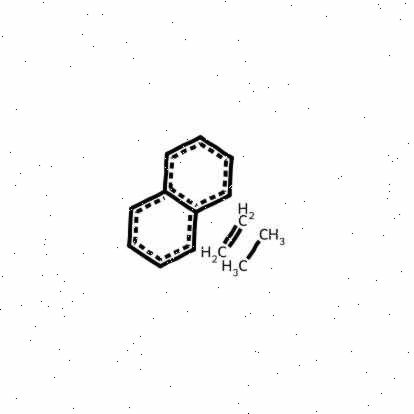 C=C.CC.c1ccc2ccccc2c1